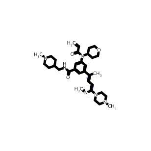 C=CC(=O)N(c1cc(C(=O)NCC2CCN(C)CC2)cc(/C(C)=C/C=C(\N=C)N2CCN(C)CC2)c1)C1CCOCC1